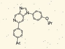 CC(=O)c1ccc(-c2cc3c(cn2)ncn3-c2ccc(OC(C)C)cc2)cc1